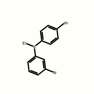 CCN(c1ccc(C(C)C)cc1)c1cccc(Br)c1